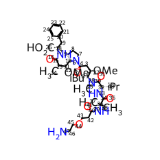 CC[C@H](C)[C@@H]([C@@H](CC(=O)N1CCC[C@H]1[C@H](OC)[C@@H](C)C(=O)N[C@@H](Cc1ccccc1)C(=O)O)OC)N(C)C(=O)[C@@H](NC(=O)C(C)(C)NC(=O)CCOCCN)C(C)C